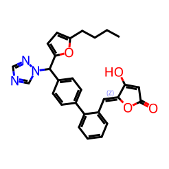 CCCCc1ccc(C(c2ccc(-c3ccccc3/C=C3\OC(=O)C=C3O)cc2)n2cncn2)o1